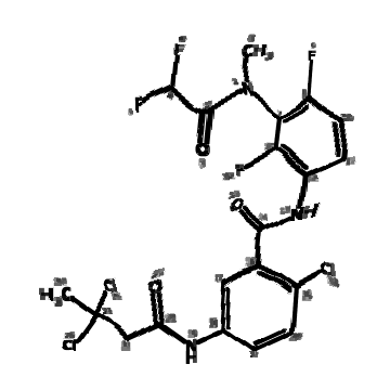 CN(C(=O)C(F)F)c1c(F)ccc(NC(=O)c2cc(NC(=O)CC(C)(Cl)Cl)ccc2Cl)c1F